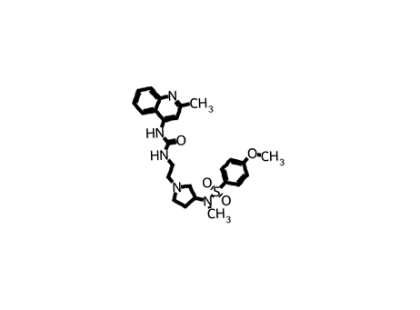 COc1ccc(S(=O)(=O)N(C)C2CCN(CCNC(=O)Nc3cc(C)nc4ccccc34)C2)cc1